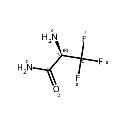 NC(=O)[C@@H](N)C(F)(F)F